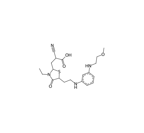 CCN1C(=O)C(CCNc2cccc(NCCOC)c2)SC1CC(C#N)C(=O)O